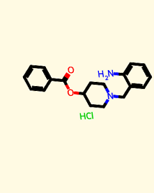 Cl.Nc1ccccc1CN1CCC(OC(=O)c2ccccc2)CC1